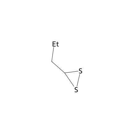 CCCC1SS1